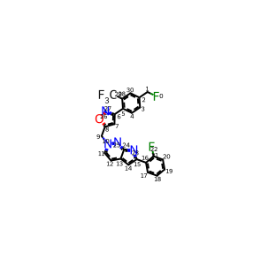 FCc1ccc(-c2cc(Cn3ccc4cc(-c5ccccc5F)nc-4n3)on2)c(C(F)(F)F)c1